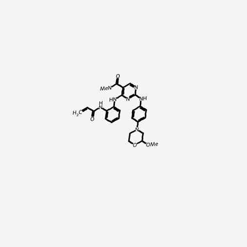 C=CC(=O)Nc1ccccc1Nc1nc(Nc2ccc(N3CCOC(OC)C3)cc2)ncc1C(=O)NC